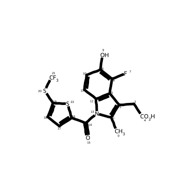 Cc1c(CC(=O)O)c2c(F)c(O)ccc2n1C(=O)c1ccc(SC(F)(F)F)s1